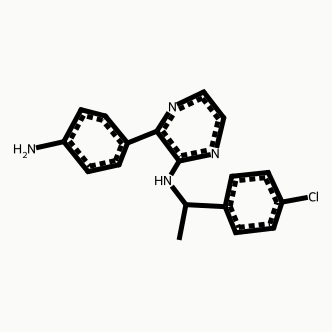 CC(Nc1nccnc1-c1ccc(N)cc1)c1ccc(Cl)cc1